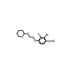 O=Cc1ccc(OCCOC2CCCCO2)c(F)c1Br